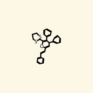 C1=C(/C=C/c2ccccc2)OC(C2SCCCS2)=C(c2ccccc2)C1c1ccccc1